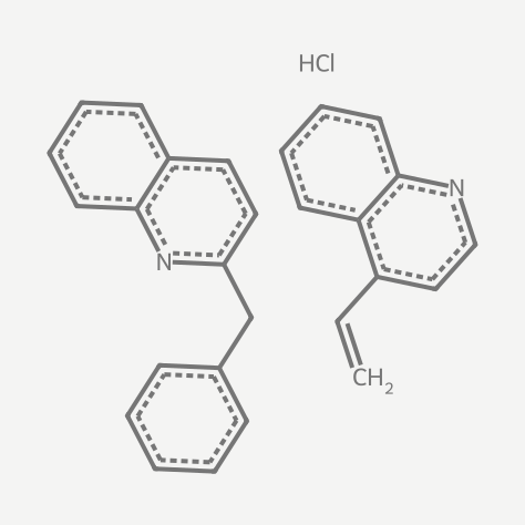 C=Cc1ccnc2ccccc12.Cl.c1ccc(Cc2ccc3ccccc3n2)cc1